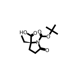 CC[C@]1(C(=O)O)CCC(=O)N1C(=O)OC(C)(C)C